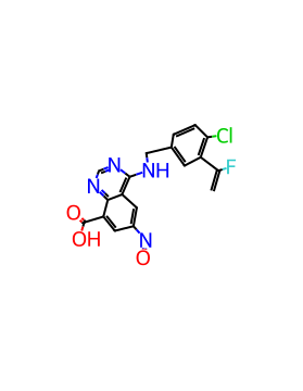 C=C(F)c1cc(CNc2ncnc3c(C(=O)O)cc(N=O)cc23)ccc1Cl